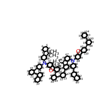 CC1(C)c2ccccc2-c2ccc(N(c3ccc(-c4ccccc4-c4cccc5ccccc45)cc3)c3ccc4c(c3)oc3c(-c5ccccc5-c5cccc(-c6ccc7c(c6)C(C)(C)c6cccc(N(c8ccc(-c9ccc%10ccccc%10c9)cc8)c8ccc9c(c8)oc8cc(-c%10cccc(-c%11ccccc%11)c%10)ccc89)c6-7)c5)cccc34)cc21